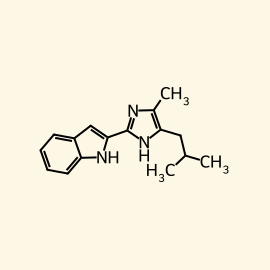 Cc1nc(-c2cc3ccccc3[nH]2)[nH]c1CC(C)C